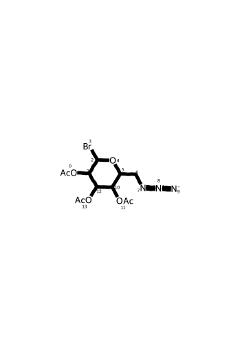 CC(=O)OC1C(Br)OC(CN=[N+]=[N-])C(OC(C)=O)C1OC(C)=O